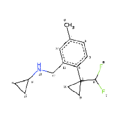 Cc1ccc(C2(C(F)F)CC2)c(CNC2CC2)c1